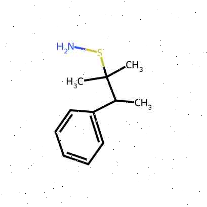 CC(c1ccccc1)C(C)(C)SN